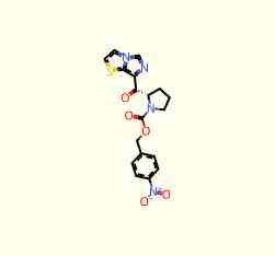 O=C(c1ncn2ccsc12)[C@@H]1CCCN1C(=O)OCc1ccc([N+](=O)[O-])cc1